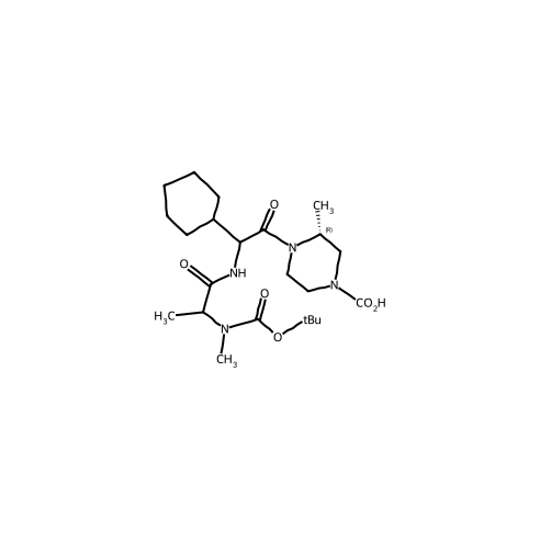 CC(C(=O)NC(C(=O)N1CCN(C(=O)O)C[C@H]1C)C1CCCCC1)N(C)C(=O)OC(C)(C)C